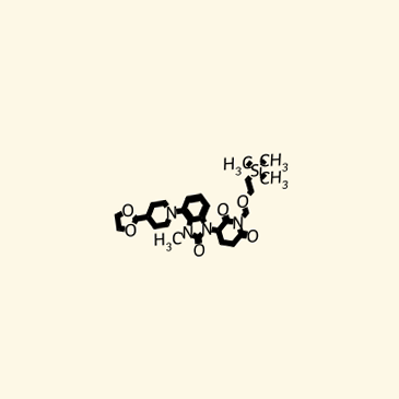 Cn1c(=O)n(C2CCC(=O)N(COCC[Si](C)(C)C)C2=O)c2cccc(N3CCC(C4OCCO4)CC3)c21